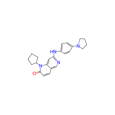 O=c1ccc2cnc(Nc3ccc(N4CCCC4)cc3)cc2n1C1CCCC1